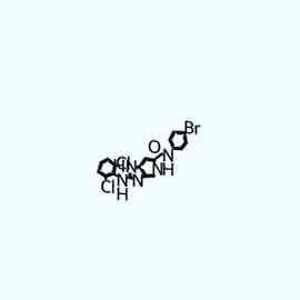 O=C(Nc1ccc(Br)cc1)c1cc2[nH]c(Nc3c(Cl)cccc3Cl)nc2cn1